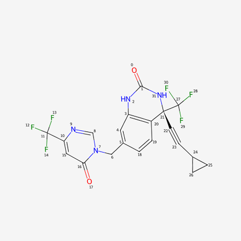 O=C1Nc2cc(Cn3cnc(C(F)(F)F)cc3=O)ccc2[C@@](C#CC2CC2)(C(F)(F)F)N1